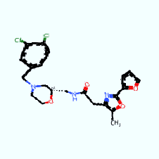 Cc1oc(-c2ccco2)nc1CC(=O)NC[C@H]1CN(Cc2ccc(Cl)c(Cl)c2)CCO1